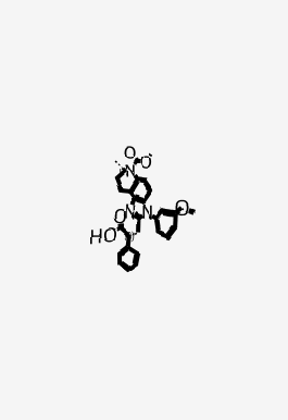 COC(=O)N1c2ccc3c(nc(C[C@@H](C(=O)O)c4ccccc4)n3-c3cccc(OC)c3)c2CC[C@@H]1C